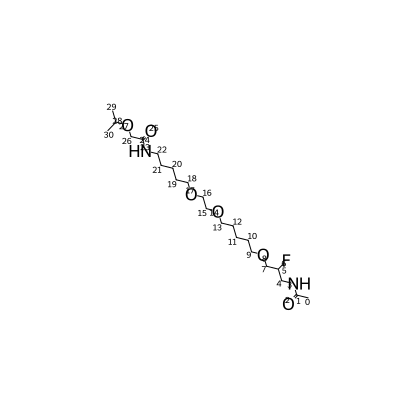 CC(=O)NCC(F)COCCCCCOCCOCCCCCNC(=O)COC(C)C